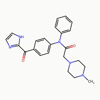 CN1CCN(CC(=O)N(c2ccccc2)c2ccc(C(=O)c3ncc[nH]3)cc2)CC1